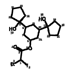 CCC(I)C(=O)OC1CC(C2(O)CCCC2)CC(C2(O)CCCC2)C1